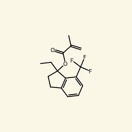 C=C(C)C(=O)OC1(CC)CCc2cccc(C(F)(F)F)c21